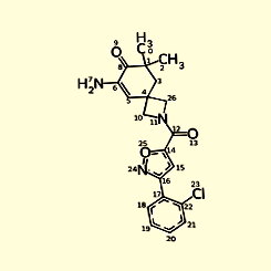 CC1(C)CC2(C=C(N)C1=O)CN(C(=O)c1cc(-c3ccccc3Cl)no1)C2